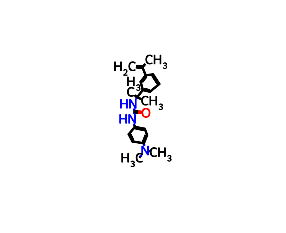 C=C(C)c1cccc(C(C)(C)NC(=O)Nc2ccc(N(C)C)cc2)c1